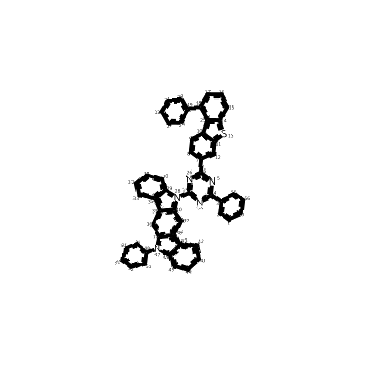 c1ccc(-c2nc(-c3ccc4c(c3)sc3cccc(-c5ccccc5)c34)nc(-n3c4ccccc4c4cc5c(cc43)c3ccccc3n5-c3ccccc3)n2)cc1